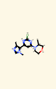 Cc1ncn(C)c1-c1cc(N2CCOCC2C)nc(Cl)n1